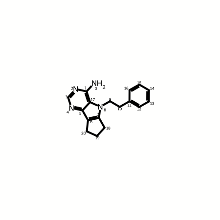 Nc1ncnc2c3c(n(CCc4ccccc4)c12)CCC3